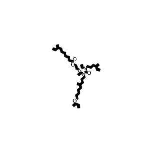 C=CC(=C)CCCCCCC(=O)OCCN1C(=C)N(CCCC(=C)C=C)C(=O)N(CCCC(=C)CCCCCOC(=C)C=C)C1=C